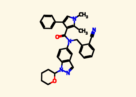 Cc1c(C(=O)N(Cc2ccccc2C#N)c2ccc3c(cnn3C3CCCCO3)c2)c(-c2ccccc2)cn1C